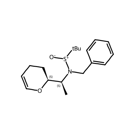 C[C@@H]([C@@H]1CCC=CO1)N(Cc1ccccc1)[S+]([O-])C(C)(C)C